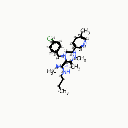 C=N/C(NCCCC)=C(/C(=C)NC)N(CCC1=CCC(C)=CN=C1)Cc1ccc(Cl)cc1